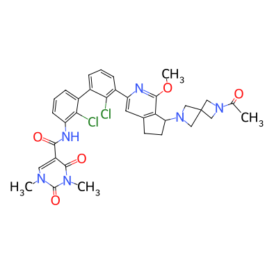 COc1nc(-c2cccc(-c3cccc(NC(=O)c4cn(C)c(=O)n(C)c4=O)c3Cl)c2Cl)cc2c1C(N1CC3(CN(C(C)=O)C3)C1)CC2